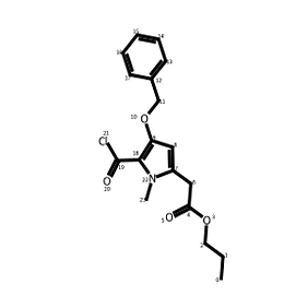 CCCOC(=O)Cc1cc(OCc2ccccc2)c(C(=O)Cl)n1C